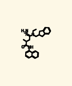 CCN(CC1Cc2ccccc2C1)C(CC(C)C(=O)Nc1cccc2ccccc12)=NN